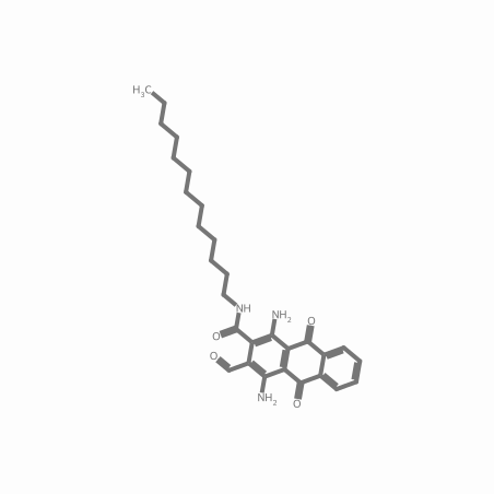 CCCCCCCCCCCCCNC(=O)c1c(N)c2c(c(N)c1C=O)C(=O)c1ccccc1C2=O